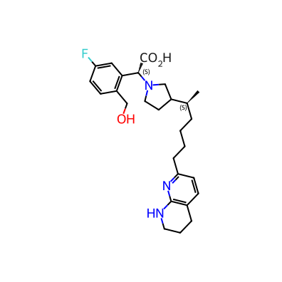 C[C@@H](CCCCc1ccc2c(n1)NCCC2)C1CCN([C@H](C(=O)O)c2cc(F)ccc2CO)C1